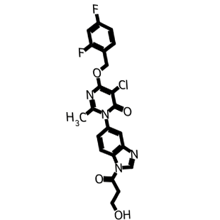 Cc1nc(OCc2ccc(F)cc2F)c(Cl)c(=O)n1-c1ccc2c(c1)ncn2C(=O)CCO